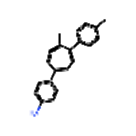 CC1=C=CC(c2ccc(N)cc2)=CC=C1c1ccc(C)cc1